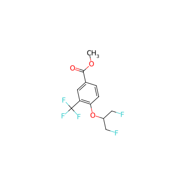 COC(=O)c1ccc(OC(CF)CF)c(C(F)(F)F)c1